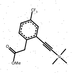 COC(=O)Cc1ccc(C(F)(F)F)cc1C#C[Si](C)(C)C